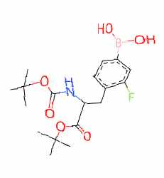 CC(C)(C)OC(=O)NC(Cc1ccc(B(O)O)cc1F)C(=O)OC(C)(C)C